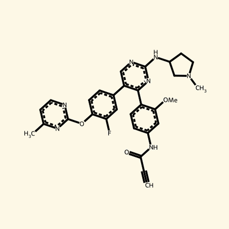 C#CC(=O)Nc1ccc(-c2nc(NC3CCN(C)C3)ncc2-c2ccc(Oc3nccc(C)n3)c(F)c2)c(OC)c1